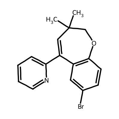 CC1(C)C=C(c2ccccn2)c2cc(Br)ccc2OC1